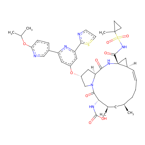 CC(C)Oc1ccc(-c2cc(O[C@@H]3C[C@H]4C(=O)N[C@]5(C(=O)NS(=O)(=O)C6(C)CC6)C[C@H]5/C=C\CC[C@@H](C)C[C@@H](C)[C@H](NC(=O)O)C(=O)N4C3)cc(-c3nccs3)n2)cn1